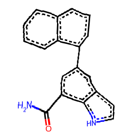 NC(=O)c1cc(-c2cccc3ccccc23)cc2cc[nH]c12